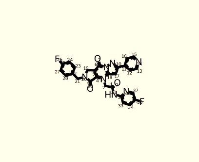 O=C(Cn1c2c(c(=O)n3nc(-c4ccncc4)cc13)CN(Cc1ccc(F)cc1)C2=O)Nc1ccc(F)cn1